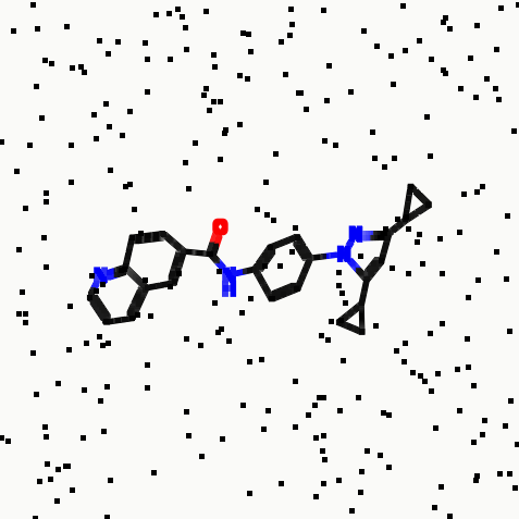 O=C(Nc1ccc(-n2nc(C3CC3)cc2C2CC2)cc1)c1ccc2ncccc2c1